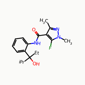 CCC(O)(c1ccccc1NC(=O)c1c(C)nn(C)c1F)C(C)C